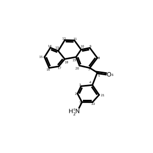 Nc1ccc(C(=O)c2ccc3ccc4ccccc4c3c2)cc1